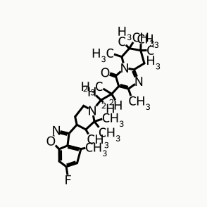 [2H]C(C)(c1c(C)nc2n(c1=O)C(C)C(C)(C)C(C)(C)C2)C([2H])([2H])N1CCC(c2noc3cc(F)cc(C)c23)C(C)C1(C)C